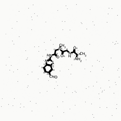 C[C@H](N)C(=O)NCC(=O)N(C)CC(=O)Nc1nc2ccc(C=O)cc2s1